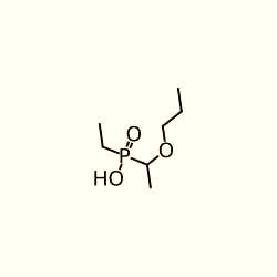 CCCOC(C)P(=O)(O)CC